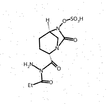 CCC(=O)N(N)C(=O)[C@@H]1CC[C@@H]2CN1C(=O)N2OS(=O)(=O)O